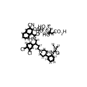 COc1c(C#N)cc2ccccc2c1C(=O)NCC(CCN1CCC(c2ccccc2NC(=O)N(C)C)CC1)c1ccc(Cl)c(Cl)c1.O=C(O)CC(O)(CC(=O)O)C(=O)O